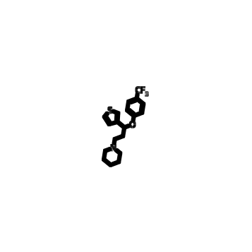 FC(F)(F)c1ccc(OC(CCN2CCCCC2)c2ccsc2)cc1